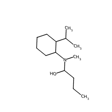 CCCC(O)N(C)C1CCCCC1C(C)C